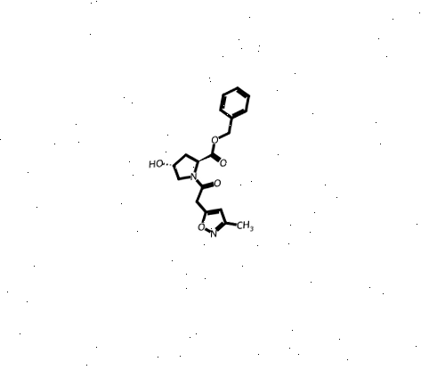 Cc1cc(CC(=O)N2C[C@H](O)C[C@H]2C(=O)OCc2ccccc2)on1